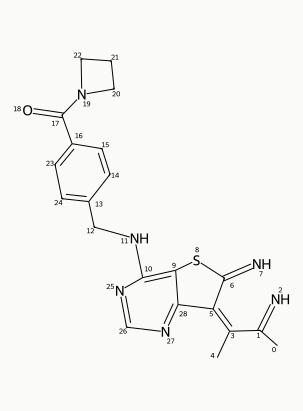 CC(=N)/C(C)=C1\C(=N)Sc2c(NCc3ccc(C(=O)N4CCC4)cc3)ncnc21